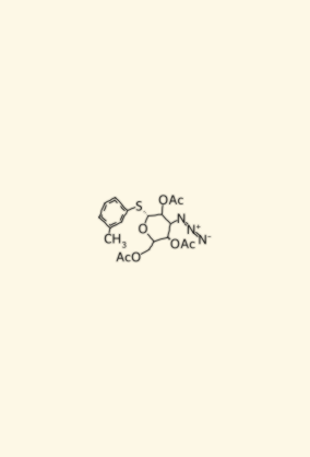 CC(=O)OCC1O[C@H](Sc2cccc(C)c2)C(OC(C)=O)C(N=[N+]=[N-])[C@H]1OC(C)=O